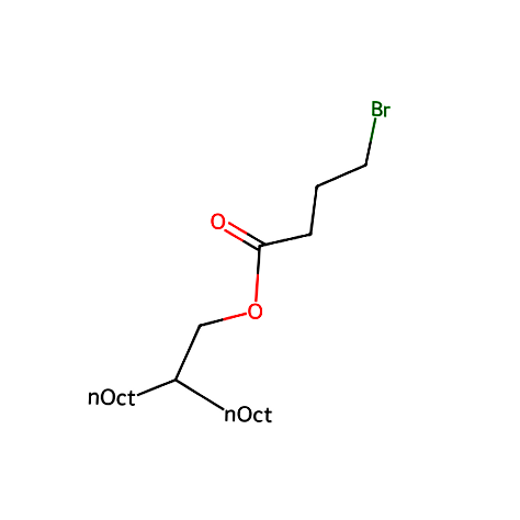 CCCCCCCCC(CCCCCCCC)COC(=O)CCCBr